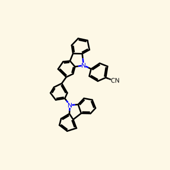 N#Cc1ccc(-n2c3ccccc3c3ccc(-c4cccc(-n5c6ccccc6c6ccccc65)c4)cc32)cc1